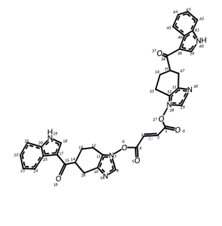 O=C(/C=C/C(=O)On1cnc2c1CCC(C(=O)c1c[nH]c3ccccc13)C2)On1cnc2c1CCC(C(=O)c1c[nH]c3ccccc13)C2